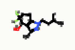 C[C@@H](C#N)CCn1nc(C(F)(F)F)c2c1CCC(F)(F)[C@H]2O